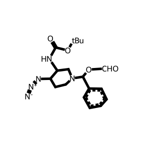 CC(C)(C)OC(=O)NC1CN(C(OC=O)c2ccccc2)CCC1N=[N+]=[N-]